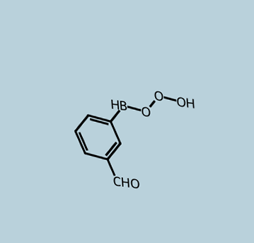 O=Cc1cccc(BOOO)c1